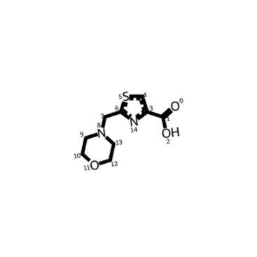 O=C(O)c1csc(CN2CCOCC2)n1